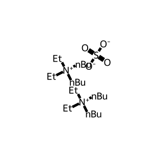 CCCC[N+](CC)(CC)CCCC.CCCC[N+](CC)(CC)CCCC.O=S(=O)([O-])[O-]